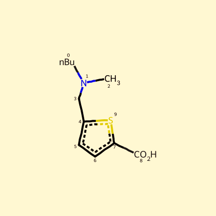 CCCCN(C)Cc1ccc(C(=O)O)s1